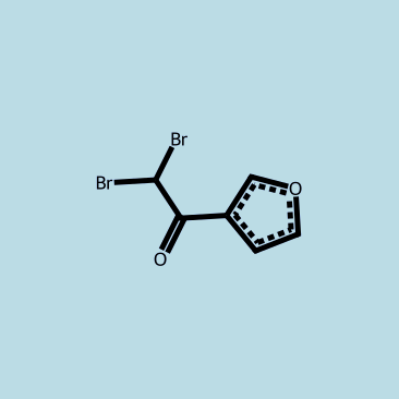 O=C(c1ccoc1)C(Br)Br